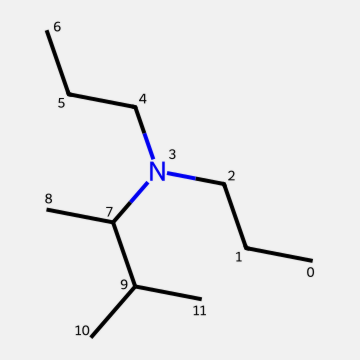 CCCN(CCC)C(C)C(C)C